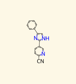 N#Cc1ccc(-c2nc(-c3ccccc3)c[nH]2)cn1